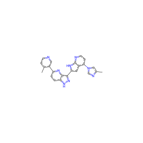 Cc1cn(-c2ccnc3[nH]c(-c4n[nH]c5ccc(-c6cnccc6C)nc45)cc23)cn1